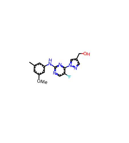 COc1cc(C)cc(Nc2ncc(F)c(-n3cc(CO)cn3)n2)c1